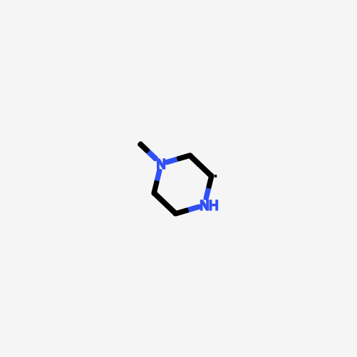 CN1C[CH]NCC1